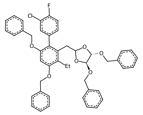 CCc1c(OCc2ccccc2)cc(OCc2ccccc2)c(-c2ccc(F)c(Cl)c2)c1CC1O[C@H](OCc2ccccc2)[C@@H](OCc2ccccc2)O1